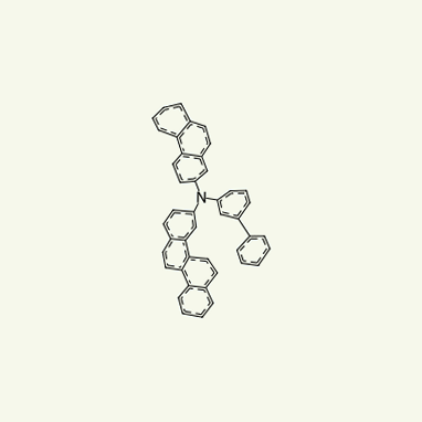 c1ccc(-c2cccc(N(c3ccc4c(ccc5ccccc54)c3)c3ccc4ccc5c6ccccc6ccc5c4c3)c2)cc1